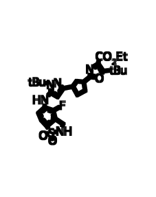 CCOC(=O)c1nc(C2CCC(c3cc(Nc4ccc5c(c4F)CNS5(=O)=O)n(C(C)(C)C)n3)C2)oc1C(C)(C)C